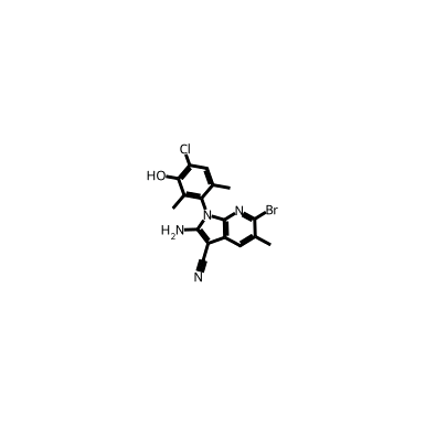 Cc1cc2c(C#N)c(N)n(-c3c(C)cc(Cl)c(O)c3C)c2nc1Br